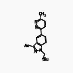 CC(=O)c1nn(CC(C)(C)C)c2ccc(-c3ccc(C)nn3)cc12